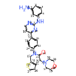 Nc1cccc(Nc2nccc(-c3ccc(N(Cc4cccs4)C(=O)CN4CCOCC4)cc3)n2)c1